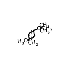 C=C(C)N1CCN(CCOC(C)(C)C)CC1